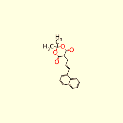 CC1(C)OC(=O)C(CC=Cc2cccc3ccccc23)C(=O)O1